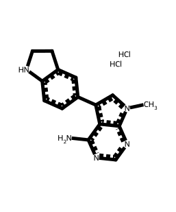 Cl.Cl.Cn1cc(-c2ccc3c(c2)CCN3)c2c(N)ncnc21